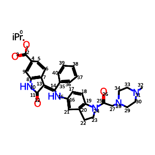 CC(C)OC(=O)c1ccc2c(c1)NC(=O)/C2=C(\Nc1ccc2c(c1)CCN2C(=O)CN1CCN(C)CC1)c1ccccc1